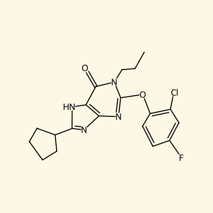 CCCn1c(Oc2ccc(F)cc2Cl)nc2nc(C3CCCC3)[nH]c2c1=O